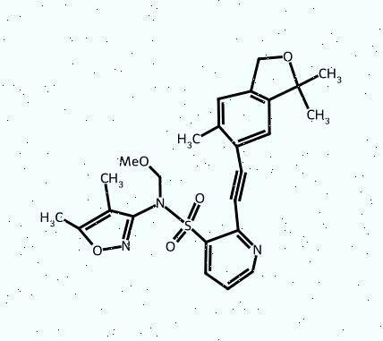 COCN(c1noc(C)c1C)S(=O)(=O)c1cccnc1C#Cc1cc2c(cc1C)COC2(C)C